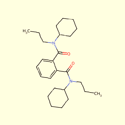 CCCN(C(=O)c1ccccc1C(=O)N(CCC)C1CCCCC1)C1CCCCC1